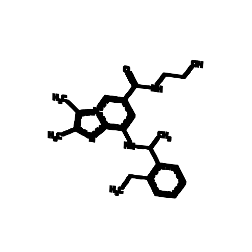 CCc1ccccc1C(C)Nc1cc(C(=O)NCCO)cn2c(C)c(C)nc12